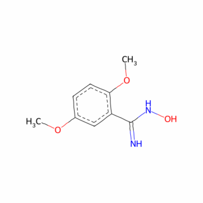 COc1ccc(OC)c(C(=N)NO)c1